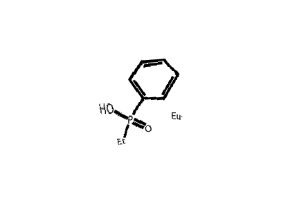 CCP(=O)(O)c1ccccc1.[Eu]